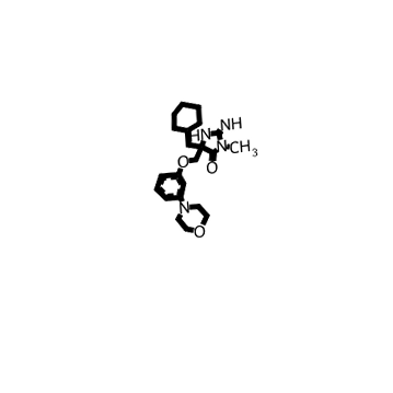 CN1C(=N)NC(COc2cccc(N3CCOCC3)c2)(CC2CCCCC2)C1=O